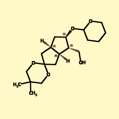 CC1(C)COC2(C[C@H]3C[C@@H](OC4CCCCO4)[C@H](CO)[C@H]3C2)OC1